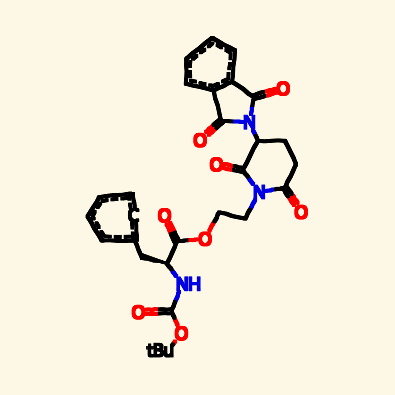 CC(C)(C)OC(=O)N[C@@H](Cc1ccccc1)C(=O)OCCN1C(=O)CCC(N2C(=O)c3ccccc3C2=O)C1=O